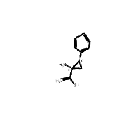 C=C(O)[C@@]1(N)C[C@@H]1c1ccccc1